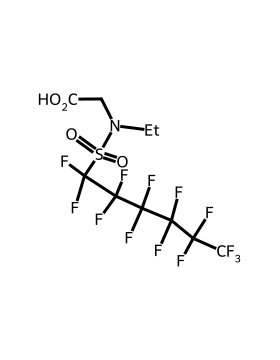 CCN(CC(=O)O)S(=O)(=O)C(F)(F)C(F)(F)C(F)(F)C(F)(F)C(F)(F)C(F)(F)F